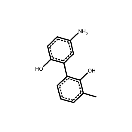 Cc1cccc(-c2cc(N)ccc2O)c1O